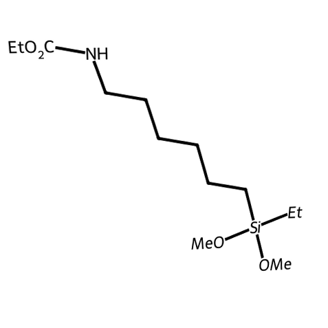 CCOC(=O)NCCCCCC[Si](CC)(OC)OC